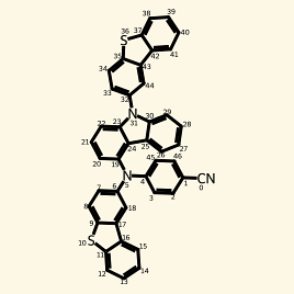 N#Cc1ccc(N(c2ccc3sc4ccccc4c3c2)c2cccc3c2c2ccccc2n3-c2ccc3sc4ccccc4c3c2)cc1